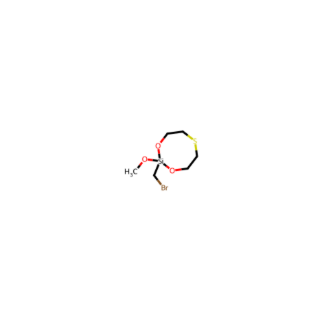 CO[Si]1(CBr)OCCSCCO1